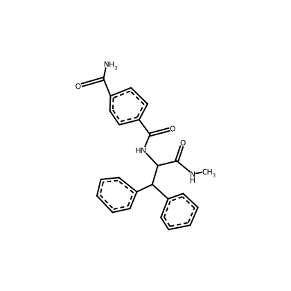 CNC(=O)C(NC(=O)c1ccc(C(N)=O)cc1)C(c1ccccc1)c1ccccc1